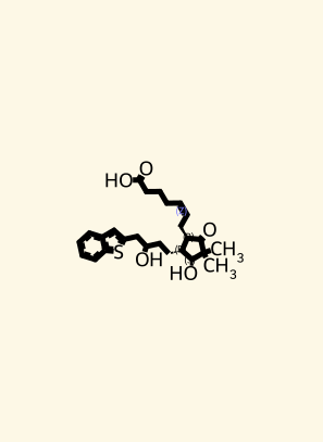 CC1(C)C(=O)[C@H](C/C=C\CCCC(=O)O)[C@@H](CCC(O)Cc2cc3ccccc3s2)[C@@H]1O